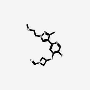 COCCn1cc(-c2cc(OC3CN(C=O)C3)c(F)cn2)c(C)n1